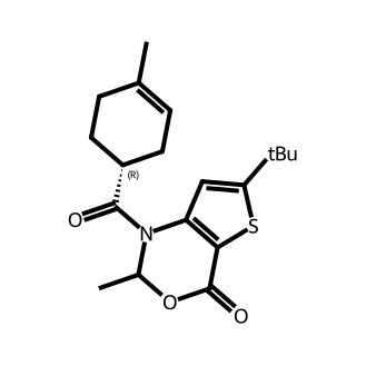 CC1=CC[C@H](C(=O)N2c3cc(C(C)(C)C)sc3C(=O)OC2C)CC1